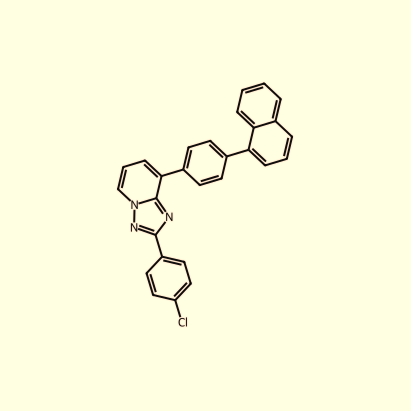 Clc1ccc(-c2nc3c(-c4ccc(-c5cccc6ccccc56)cc4)cccn3n2)cc1